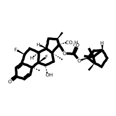 C[C@@H]1C[C@H]2[C@@H]3C[C@H](F)C4=CC(=O)C=C[C@]4(C)[C@@]3(F)[C@@H](O)C[C@]2(C)[C@@]1(OC(=O)O[C@H]1C[C@@H]2CC[C@@]1(C)C2(C)C)C(=O)O